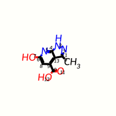 Cc1n[nH]c2nc(O)cc(C(=O)O)c12